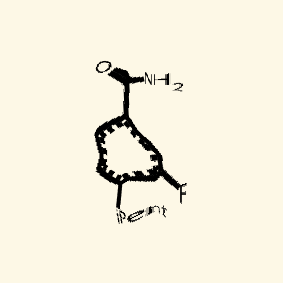 CCCC(C)c1ccc(C(N)=O)cc1F